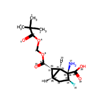 CC(C)(C)C(=O)OCOC(=O)[C@H]1[C@@H]2C[C@H](F)[C@@](N)(C(=O)O)[C@@H]21